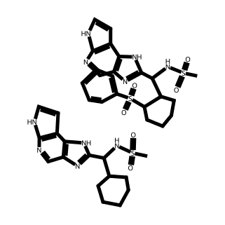 CS(=O)(=O)NC(c1nc2cnc3[nH]ccc3c2[nH]1)C1CCCCC1.CS(=O)(=O)NC(c1nc2cnc3[nH]ccc3c2[nH]1)C1CCCCC1S(=O)(=O)c1ccccc1